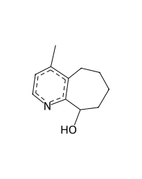 Cc1ccnc2c1CCCCC2O